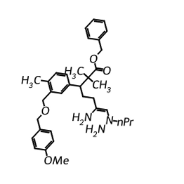 CCCN(N)/C=C(\N)CCC(c1ccc(C)c(COCc2ccc(OC)cc2)c1)C(C)(C)C(=O)OCc1ccccc1